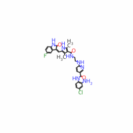 Cc1[nH]c(C=C2C(=O)Nc3ccc(F)cc32)c(C)c1C(=O)NCCNc1ccc(C(=O)Nc2ccc(Cl)cc2N)cn1